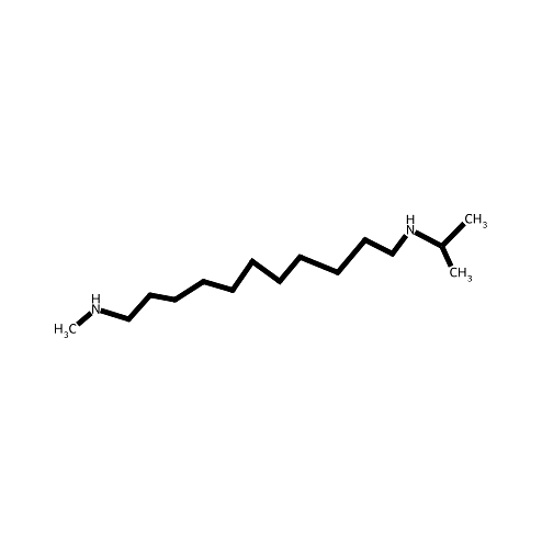 CNCCCCCCCCCCCNC(C)C